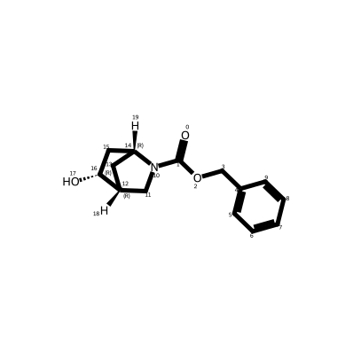 O=C(OCc1ccccc1)N1C[C@H]2C[C@@H]1C[C@H]2O